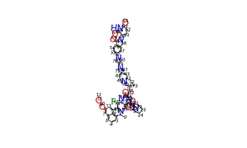 CCc1cccc2cc(OCOC)cc(-c3ncc4c(N5CC6CCC(C5)N6C(=O)OC(C)(C)C)nc(OCC5(CN6CCC7(CC6)CN(C6CN(c8ccc9c(c8)CN(C8CCC(=O)NC8=O)C9=O)C6)C7)CC5)nc4c3F)c12